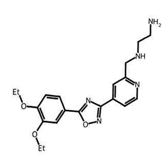 CCOc1ccc(-c2nc(-c3ccnc(CNCCN)c3)no2)cc1OCC